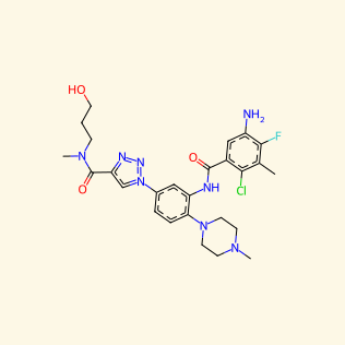 Cc1c(F)c(N)cc(C(=O)Nc2cc(-n3cc(C(=O)N(C)CCCO)nn3)ccc2N2CCN(C)CC2)c1Cl